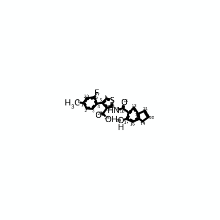 Cc1ccc(-c2csc(NC(=O)c3cc4c(cc3O)CC=C4)c2C(=O)O)c(F)c1